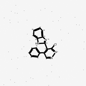 Clc1nncc(-c2ccccc2)c1-c1nc2ccccc2[nH]1